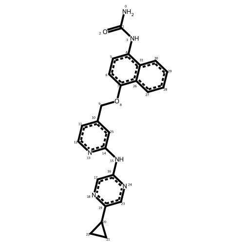 NC(=O)Nc1ccc(OCc2ccnc(Nc3cnc(C4CC4)cn3)c2)c2ccccc12